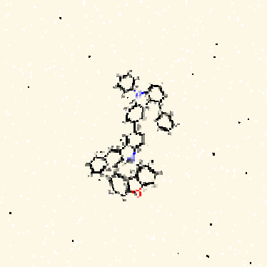 c1ccc(-c2cccc3c2c2cc(-c4ccc5c(c4)c4cc6ccccc6cc4n5-c4cccc5oc6ccccc6c45)ccc2n3-c2ccccc2)cc1